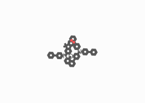 CC1(C)c2ccccc2-c2ccc(N(c3ccc(-c4ccccc4)cc3)c3ccc4cccc5c4c3Oc3cc(N(c4ccc(-c6ccccc6)cc4)c4ccc(-c6ccccc6)cc4)ccc3-5)cc21